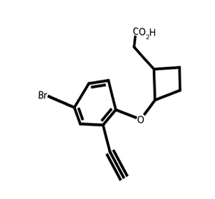 C#Cc1cc(Br)ccc1OC1CCC1CC(=O)O